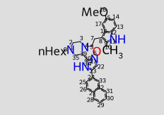 CCCCCCN1CCN(C(=O)Cc2c(C)[nH]c3ccc(OC)cc23)C(c2ncc(-c3ccc4ccccc4c3)[nH]2)C1